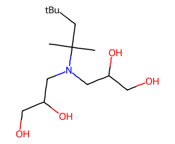 CC(C)(C)CC(C)(C)N(CC(O)CO)CC(O)CO